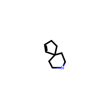 C1=CC2(CC1)CC[N]CC2